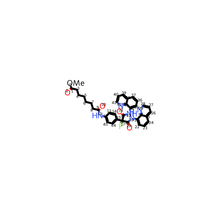 COC(=O)CCCCCCC(=O)Nc1ccc(C(F)(C(=O)Nc2cccc3cccnc23)C(=O)Nc2cccc3cccnc23)cc1